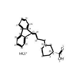 Cl.O=C(O)[C@@H]1CCCN(CCC=C2c3ccccc3-c3ccccc32)C1